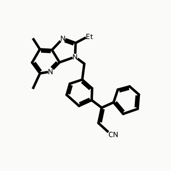 CCc1nc2c(C)cc(C)nc2n1Cc1cccc(C(=CC#N)c2ccccc2)c1